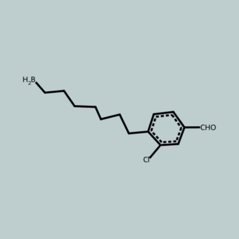 BCCCCCCCc1ccc(C=O)cc1Cl